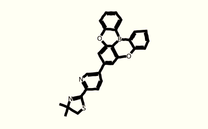 CC1(C)CSC(c2ccc(-c3cc4c5c(c3)Oc3ccccc3B5c3ccccc3O4)cn2)=N1